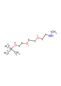 CNCCOCCOCCOC(C)(C)C